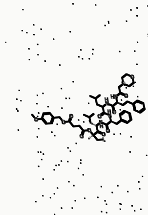 COc1ccc(COC(=O)CCC(=O)O[C@](C)(CI)C(=O)[C@H](CC(C)C)NC(=O)[C@H](Cc2ccccc2)NC(=O)C(CC(C)C)NC(=O)[C@H](CCc2ccccc2)NC(=O)CN2CCOCC2)cc1